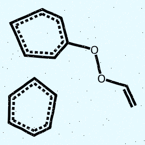 C=COOc1ccccc1.c1ccccc1